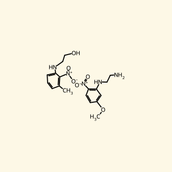 COc1ccc([N+](=O)[O-])c(NCCN)c1.Cc1cccc(NCCO)c1[N+](=O)[O-]